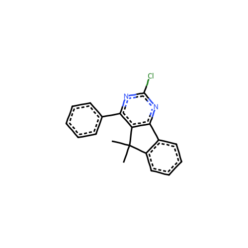 CC1(C)c2ccccc2-c2nc(Cl)nc(-c3ccccc3)c21